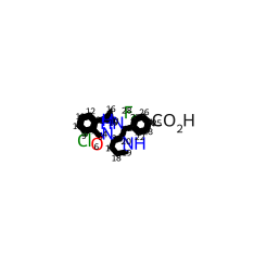 N=C(C1=C(NC(=O)c2c(Cl)cccc2C2CC2)CCCN1)c1ccc(C(=O)O)cc1F